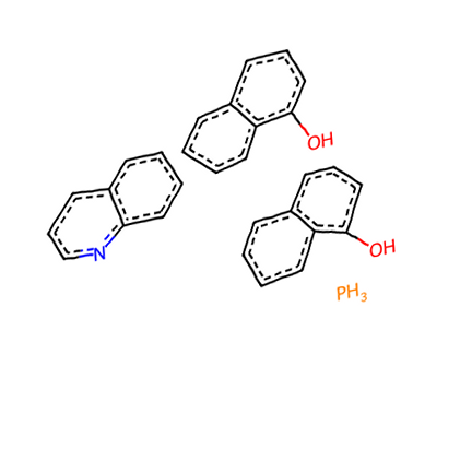 Oc1cccc2ccccc12.Oc1cccc2ccccc12.P.c1ccc2ncccc2c1